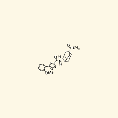 COc1ccccc1-c1cc(C(=O)N[C@H]2C3CC4CC2C[C@](C(N)=O)(C4)C3)no1